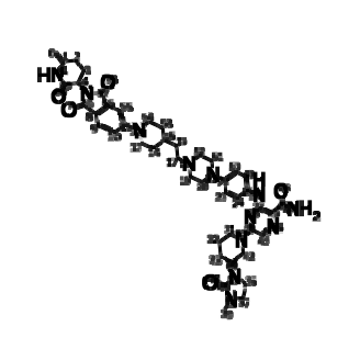 C=C1CCC(N2C(=O)c3ccc(N4CCC(CCN5CCN(c6ccc(Nc7nc(N8CCC[C@@H](N9CCN(C)C9=O)C8)cnc7C(N)=O)cc6)CC5)CC4)cc3C2=O)C(=O)N1